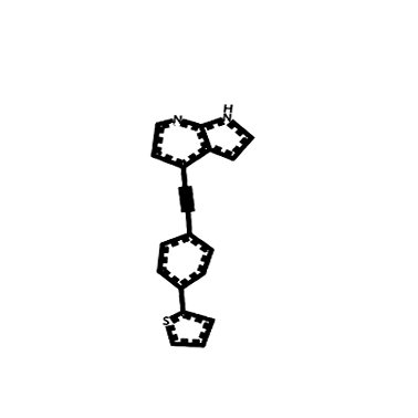 C(#Cc1ccnc2[nH]ccc12)c1ccc(-c2cccs2)cc1